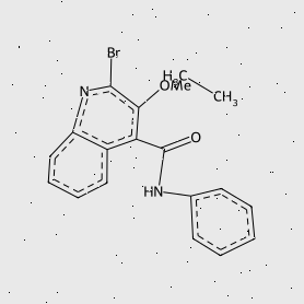 CC.COc1c(Br)nc2ccccc2c1C(=O)Nc1ccccc1